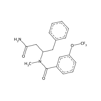 CN(C(=O)c1cccc(OC(F)(F)F)c1)C(CC(N)=O)Cc1ccccc1